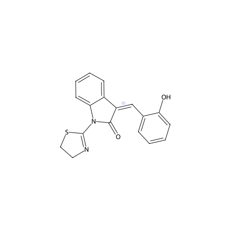 O=C1/C(=C\c2ccccc2O)c2ccccc2N1C1=NCCS1